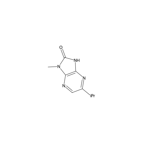 CC(C)c1cnc2c(n1)[nH]c(=O)n2C